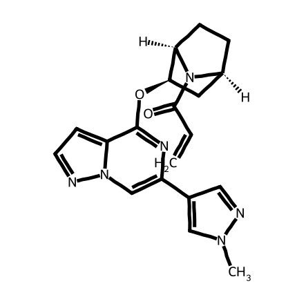 C=CC(=O)N1[C@H]2CC[C@@H]1[C@H](Oc1nc(-c3cnn(C)c3)cn3nccc13)C2